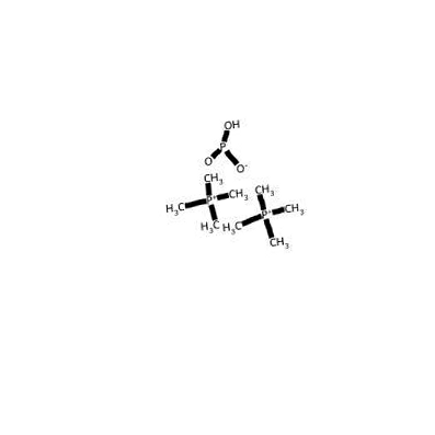 C[P+](C)(C)C.C[P+](C)(C)C.[O-]P([O-])O